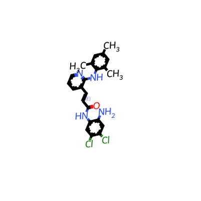 Cc1cc(C)c(Nc2ncccc2/C=C/C(=O)Nc2cc(Cl)c(Cl)cc2N)c(C)c1